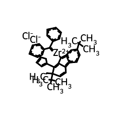 CCC1(C(C)(C)C)C=CC2=c3ccc(C(C)(C)C)cc3=[C]([Zr+2]=[C](c3ccccc3)c3ccccc3)C2=C1C1=CC=CC1.[Cl-].[Cl-]